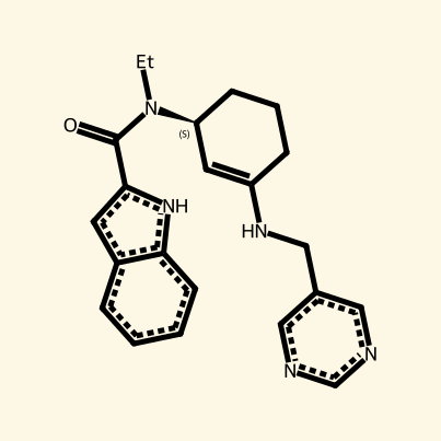 CCN(C(=O)c1cc2ccccc2[nH]1)[C@@H]1C=C(NCc2cncnc2)CCC1